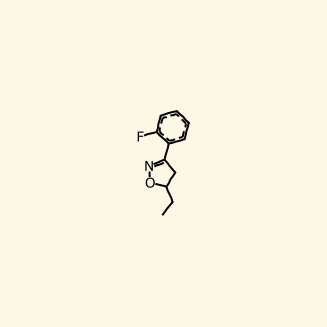 CCC1CC(c2ccccc2F)=NO1